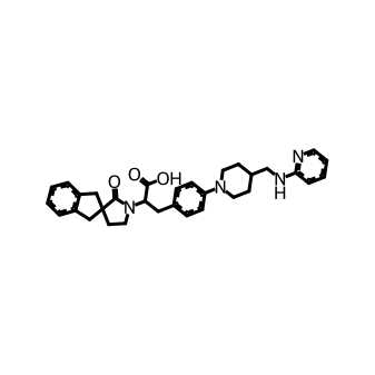 O=C(O)C(Cc1ccc(N2CCC(CNc3ccccn3)CC2)cc1)N1CCC2(Cc3ccccc3C2)C1=O